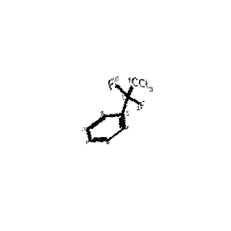 FC(F)(c1ccccc1)C(Cl)(Cl)Cl